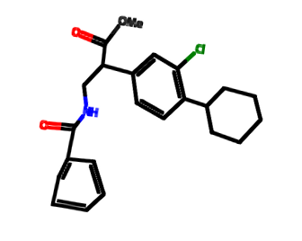 COC(=O)C(CNC(=O)c1ccccc1)c1ccc(C2CCCCC2)c(Cl)c1